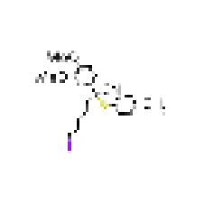 COc1ccc(C(C#N)(CCCCCI)Sc2ccc(C)cc2)cc1OC